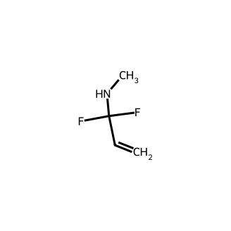 C=CC(F)(F)NC